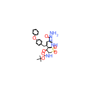 CC(C)(C)OC(=O)N[C@H]1CS(=O)(=O)C2=C(C1=O)C(Cc1ccc(Oc3ccccc3)cc1)=CC(C(=O)NN)=CN2